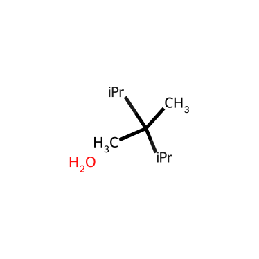 CC(C)C(C)(C)C(C)C.O